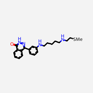 CSCCNCCCCCNc1cccc(-c2n[nH]c(=O)c3ccccc23)c1